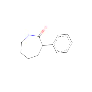 O=C1[N]CCCCC1c1ccccc1